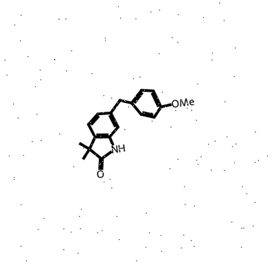 COc1ccc(Cc2ccc3c(c2)NC(=O)C3(C)C)cc1